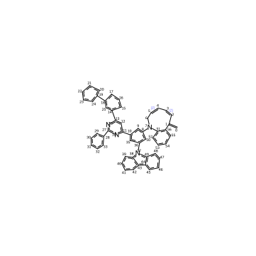 C=C1/C=C\C=C/CN(c2cc(-c3cc(-c4cccc(-c5ccccc5)c4)nc(-c4ccccc4)n3)cc(-n3c4ccccc4c4ccccc43)c2)c2ccccc21